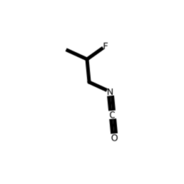 CC(F)CN=C=O